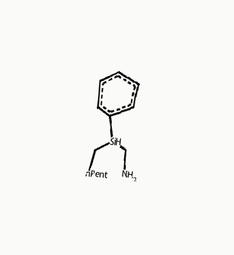 CCCCCC[SiH](CN)c1ccccc1